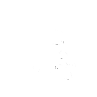 CCCNC(=O)c1ccc(N(O)[C@H](CN2CC[C@H](OCOC)C2)c2ccccc2)cc1